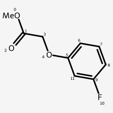 COC(=O)COc1cccc(F)c1